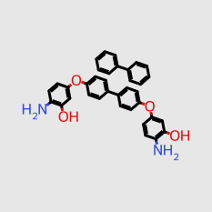 Nc1ccc(Oc2ccc(-c3ccc(Oc4ccc(N)c(O)c4)cc3)cc2)cc1O.c1ccc(-c2ccccc2)cc1